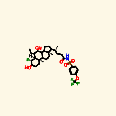 CC[C@@H]1[C@@H]2[C@@H](F)[C@H](O)CC[C@]2(C)C2CC[C@@]3(C)C(CCC3[C@H](C)CCC(=O)NS(=O)(=O)c3ccc(OC(F)(F)F)cc3)C2[C@@H]1O